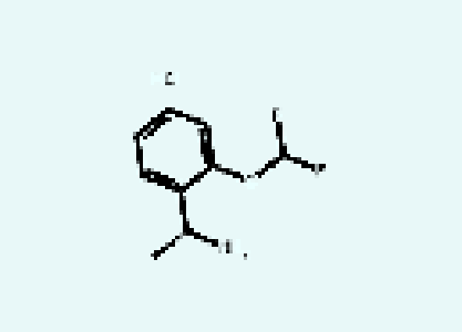 C[C@H](N)c1ccccc1OC(F)F.Cl